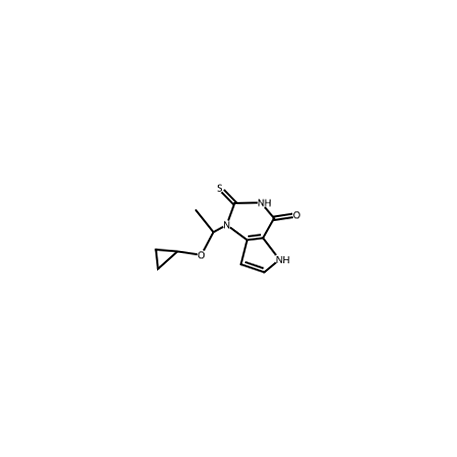 CC(OC1CC1)n1c(=S)[nH]c(=O)c2[nH]ccc21